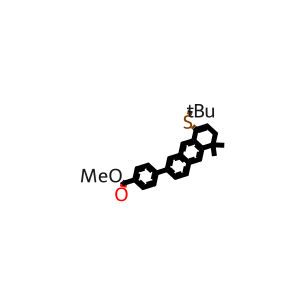 COC(=O)c1ccc(-c2ccc3cc4c(cc3c2)C(SC(C)(C)C)=CCC4(C)C)cc1